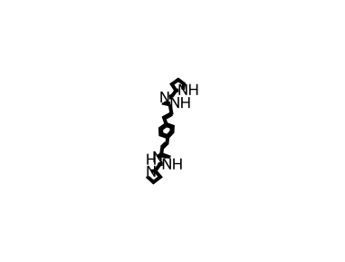 C(=Cc1c[nH]c(C2CCCN2)n1)c1ccc(C=Cc2cnc(C3CCCN3)[nH]2)cc1